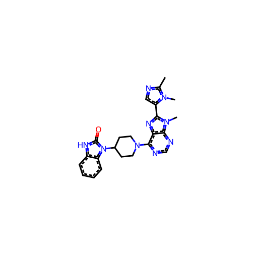 Cc1ncc(-c2nc3c(N4CCC(n5c(=O)[nH]c6ccccc65)CC4)ncnc3n2C)n1C